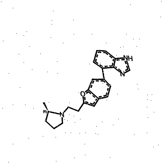 C[C@@H]1CCCN1CCc1cc2ccc(-c3cccc4[nH]cnc34)cc2o1